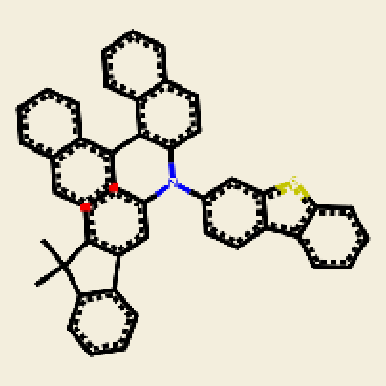 CC1(C)c2ccccc2-c2cc(N(c3ccc4c(c3)sc3ccccc34)c3ccc4ccccc4c3-c3cccc4ccccc34)ccc21